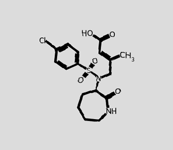 CC(=CC(=O)O)CN([C@@H]1CCCCNC1=O)S(=O)(=O)c1ccc(Cl)cc1